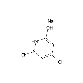 OC1=CC(Cl)=NN(Cl)N1.[Na]